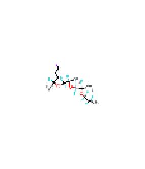 FC(F)(F)C(F)(CCCI)OC(F)(F)C(F)(OC(F)(F)C(F)(OC(F)(F)C(F)(F)C(F)(F)F)C(F)(F)F)C(F)(F)F